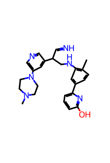 Cc1ccc(-c2cccc(O)n2)cc1NCC(C=N)c1cncc(N2CCN(C)CC2)c1